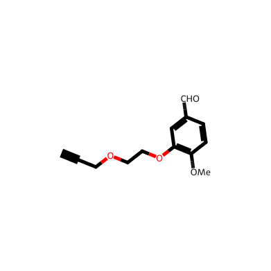 C#CCOCCOc1cc(C=O)ccc1OC